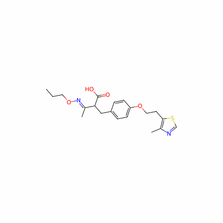 CCCO/N=C(\C)C(Cc1ccc(OCCc2scnc2C)cc1)C(=O)O